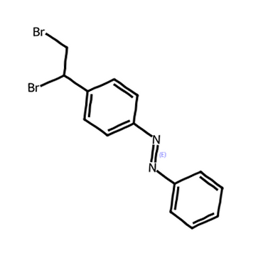 BrCC(Br)c1ccc(/N=N/c2ccccc2)cc1